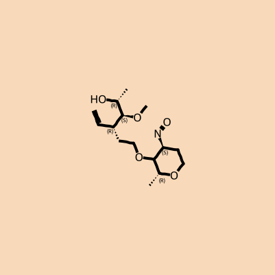 C=C[C@@H](CCOC1[C@@H](N=O)CCO[C@@H]1C)[C@H](OC)[C@@H](C)O